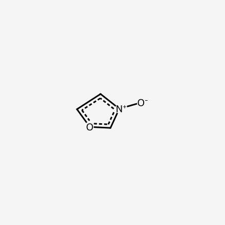 [O-][n+]1ccoc1